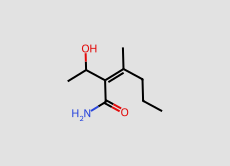 CCCC(C)=C(C(N)=O)C(C)O